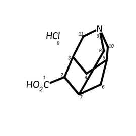 Cl.O=C(O)C1C2CC3CC1CN(C3)C2